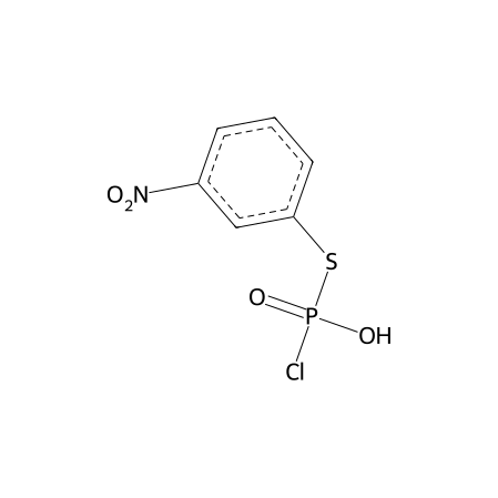 O=[N+]([O-])c1cccc(SP(=O)(O)Cl)c1